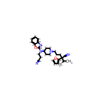 CC(C)C(C#N)(CCCN1CCC(N(CCC#N)c2nc3ccccc3o2)CC1)c1ccco1